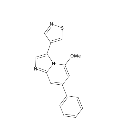 COc1cc(-c2ccccc2)cc2ncc(-c3cnsc3)n12